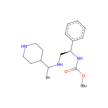 CC(C)C(NC[C@H](NC(=O)OC(C)(C)C)c1ccccc1)C1CCNCC1